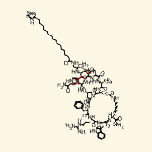 CCCC[C@H](NC(=O)[C@H](CO)NC(=O)[C@H](Cc1c[nH]cn1)NC(=O)[C@H](CCC(N)=O)NC(=O)[C@@H](NC(=O)CNC(=O)CCCCCCCCCCCCCCCc1nnn[nH]1)[C@@H](C)O)C(=O)N[C@H]1CCC(=O)NCCCC[C@@H](C(N)=O)NC(=O)[C@H](Cc2c[nH]c3ccccc23)NC(=O)[C@H](CCCNC(=N)N)NC(=O)[C@@H](Cc2ccccc2)NC(=O)[C@@H]2C[C@@H](O)CN2C1=O